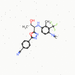 [C-]#[N+]c1ccc(N[C@@H](c2nnc(-c3ccc(C#N)cc3)o2)[C@H](C)O)c(C)c1C(F)(F)F